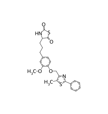 COc1cc(CCCC2NC(=O)SC2=O)ccc1OCc1nc(-c2ccccc2)sc1C